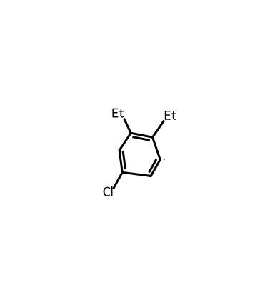 CCc1[c]cc(Cl)cc1CC